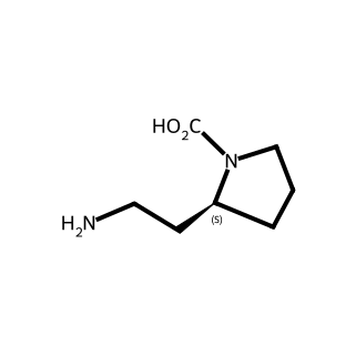 NCC[C@@H]1CCCN1C(=O)O